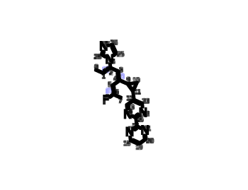 C/C=C(/C=C(\C=C(/C)F)C1CC1c1cnc(-c2ncccn2)nc1)n1ccnc1